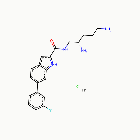 NCCC[C@H](N)CNC(=O)c1cc2ccc(-c3cccc(F)c3)cc2[nH]1.[Cl-].[H+]